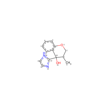 CC1COc2ccccc2C1(O)c1ncc[nH]1